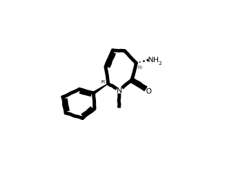 CN1C(=O)[C@@H](N)CC=C[C@@H]1c1ccccc1